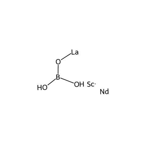 OB(O)[O][La].[Nd].[Sc]